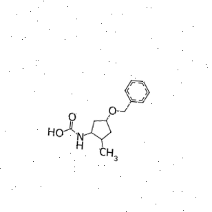 CC1CC(OCc2ccccc2)CC1NC(=O)O